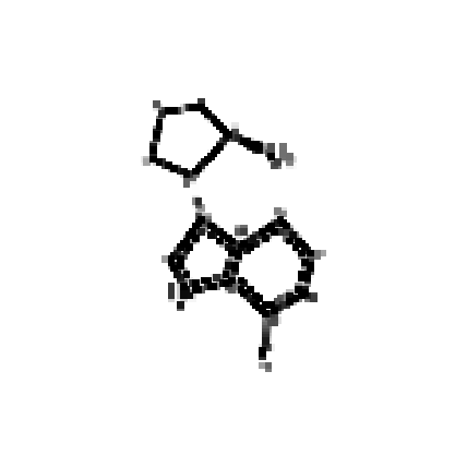 N[C@@H]1CCC[C@H]1c1c[nH]c2c(Cl)cccc12